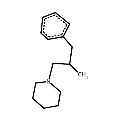 CC(Cc1ccccc1)CN1CCCCC1